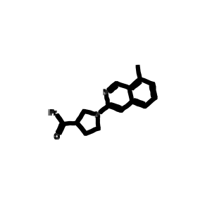 Cc1cccc2cc(N3CCC(C(=O)C(C)C)C3)ncc12